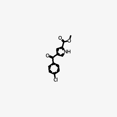 COC(=O)c1cc(C(=O)c2ccc(Cl)cc2)c[nH]1